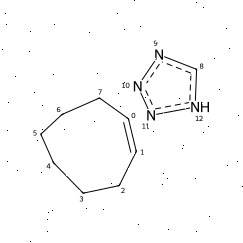 C1=CCCCCCC1.c1nnn[nH]1